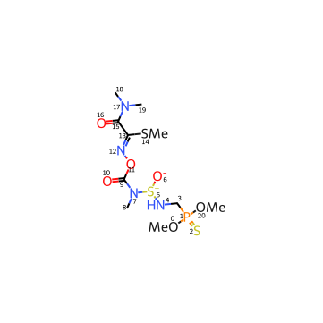 COP(=S)(CN[S+]([O-])N(C)C(=O)O/N=C(\SC)C(=O)N(C)C)OC